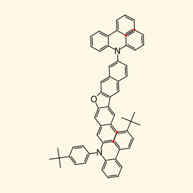 CC(C)(C)c1ccc(-c2ccccc2N(c2ccc(C(C)(C)C)cc2)c2ccc3cc4c(cc3c2)oc2cc3cc(N(c5ccccc5)c5ccccc5-c5ccccc5)ccc3cc24)cc1